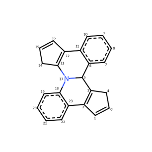 C1=CC2=C(C1)C1c3ccccc3C3=C(CC=C3)N1c1ccccc12